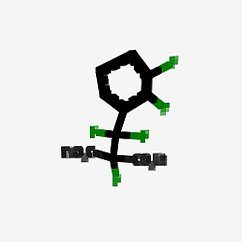 CCOC(=O)C(F)(C(=O)OCC)C(F)(F)c1cccc(F)c1F